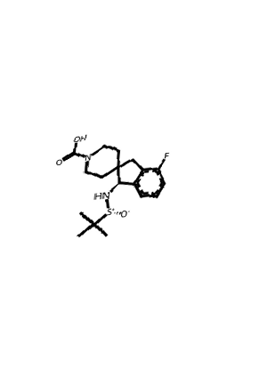 CC(C)(C)[S@@+]([O-])N[C@@H]1c2cccc(F)c2CC12CCN(C(=O)O)CC2